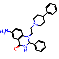 Nc1ccc2c(c1)C(=O)NC(c1ccccc1)N2CCN1CCC(c2ccccc2)CC1